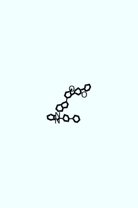 c1ccc(-c2ccc(-c3nc4ccccc4n3-c3ccc4cc(-c5ccc6oc7cc8c(cc7c6c5)oc5ccccc58)ccc4c3)cc2)cc1